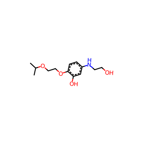 CC(C)OCCOc1ccc(NCCO)cc1O